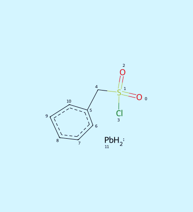 O=S(=O)(Cl)Cc1ccccc1.[PbH2]